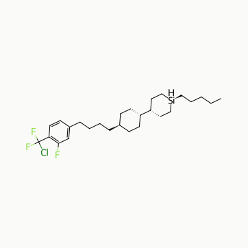 CCCCC[Si@H]1CC[C@H]([C@H]2CC[C@H](CCCCc3ccc(C(F)(F)Cl)c(F)c3)CC2)CC1